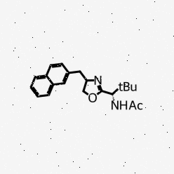 CC(=O)N[C@H](C1=NC(Cc2ccc3ccccc3c2)CO1)C(C)(C)C